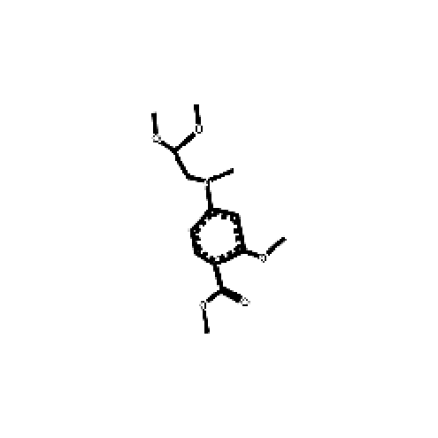 COC(=O)c1ccc(N(C)CC(OC)OC)cc1OC